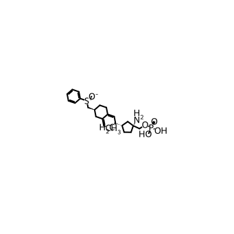 C=C(/C=C1/CC[C@H](C[S+]([O-])c2ccccc2)C/C1=C/C)[C@H]1CC[C@](N)(COP(=O)(O)O)C1